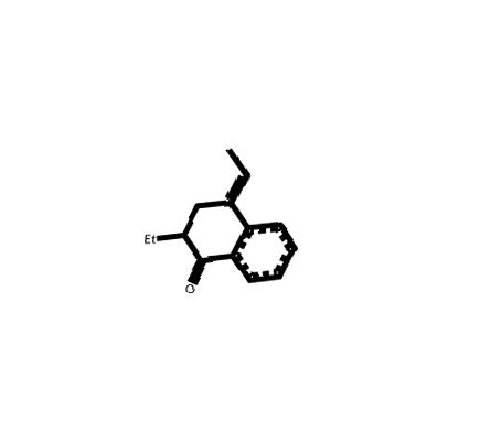 CC=C1CC(CC)C(=O)c2ccccc21